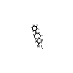 Nc1cnc2c(n1)CCN(c1ccccc1)CC2